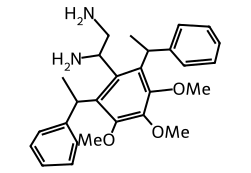 COc1c(OC)c(C(C)c2ccccc2)c(C(N)CN)c(C(C)c2ccccc2)c1OC